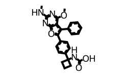 CNc1nc(OC)c2c(-c3ccccc3)c(-c3ccc(C4(NC(=O)O)CCC4)cc3)oc2n1